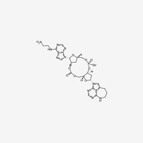 NCCNc1ncnc2c1ncn2[C@@H]1O[C@@H]2COP(=O)(S)O[C@H]3C[C@H](n4cc5c6c(ncnc64)NCCC5)O[C@@H]3COC(=O)O[C@@H]1C2